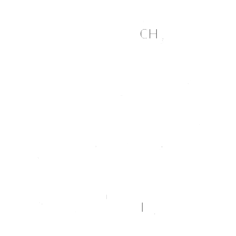 Cc1cccc(-c2ccccc2I)c1